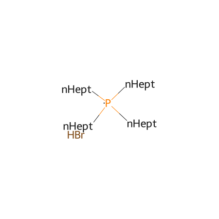 Br.CCCCCCC[P](CCCCCCC)(CCCCCCC)CCCCCCC